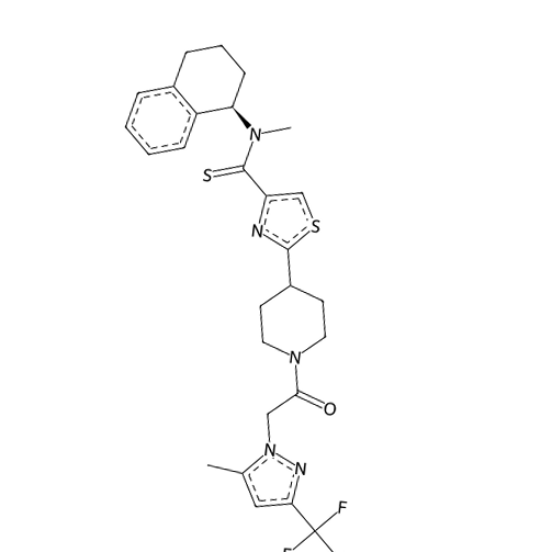 Cc1cc(C(F)(F)F)nn1CC(=O)N1CCC(c2nc(C(=S)N(C)[C@@H]3CCCc4ccccc43)cs2)CC1